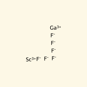 [F-].[F-].[F-].[F-].[F-].[F-].[Ga+3].[Sc+3]